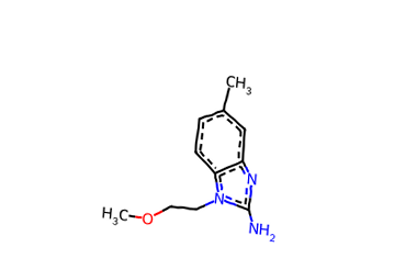 COCCn1c(N)nc2cc(C)ccc21